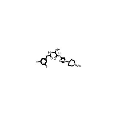 CCCC(NC(=O)Cc1cc(F)cc(F)c1)C(=O)Nc1cn(C2CCN(C(C)=O)CC2)cn1